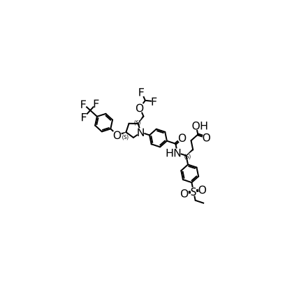 CCS(=O)(=O)c1ccc([C@H](CCC(=O)O)NC(=O)c2ccc(N3C[C@@H](Oc4ccc(C(F)(F)F)cc4)C[C@H]3COC(F)F)cc2)cc1